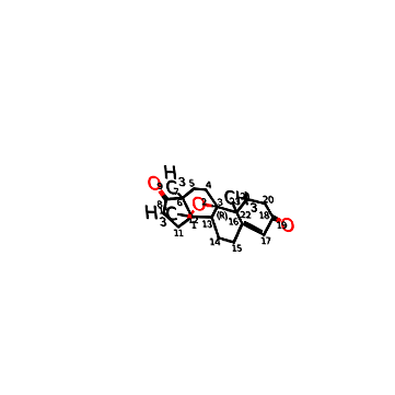 CCO[C@]12CCC3(C)C(=O)CCC3C1CCC1=CC(=O)CCC12C